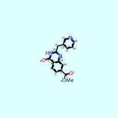 COC(=O)c1ccc2c(=O)[nH]c(Cc3cccnc3)nc2c1